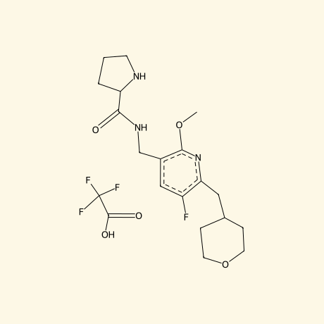 COc1nc(CC2CCOCC2)c(F)cc1CNC(=O)C1CCCN1.O=C(O)C(F)(F)F